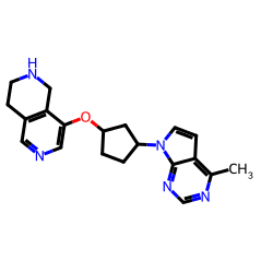 Cc1ncnc2c1ccn2C1CCC(Oc2cncc3c2CNCC3)C1